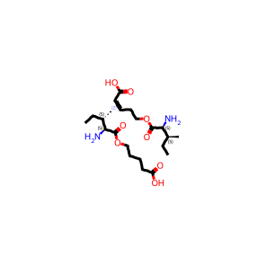 CC[C@H](C)[C@H](N)C(=O)OCC/C=C\C(=O)O.CC[C@H](C)[C@H](N)C(=O)OCCCCC(=O)O